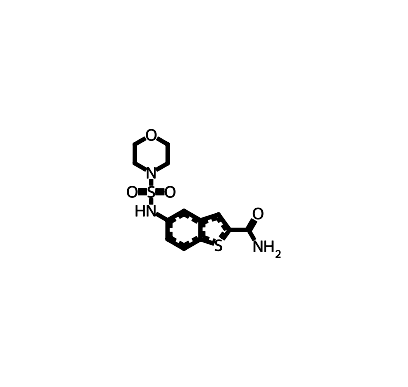 NC(=O)c1cc2cc(NS(=O)(=O)N3CCOCC3)ccc2s1